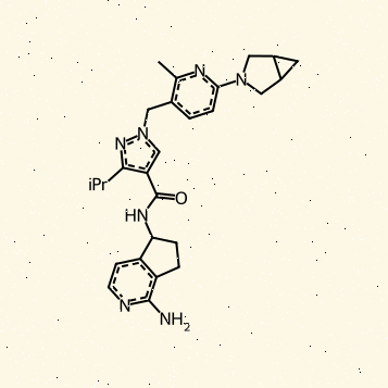 Cc1nc(N2CC3CC3C2)ccc1Cn1cc(C(=O)NC2CCc3c2ccnc3N)c(C(C)C)n1